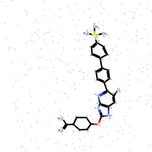 C=C(C)C1CCC(Oc2nc3nc(-c4ccc(-c5ccc(S(C)(C)C)cc5)cc4)c(Cl)cc3[nH]2)CC1